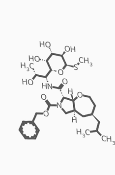 CS[C@H]1O[C@H]([C@H](NC(=O)[C@@H]2[C@@H]3OCC[C@@H](CC(C)C)C[C@H]3CN2C(=O)OCc2ccccc2)[C@@H](C)O)[C@H](O)[C@H](O)[C@H]1O